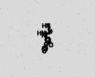 CNCCN(C)Cc1c[nH]nc1C1CCC(COC)(COC2CCOCC2)CC1